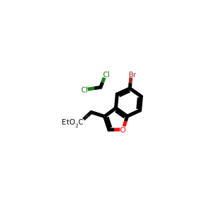 CCOC(=O)Cc1coc2ccc(Br)cc12.ClCCl